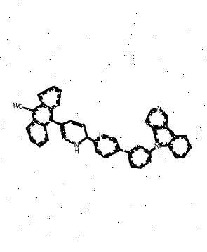 N#Cc1c2ccccc2c(C2=CNC(c3ccc(-c4cccc(-n5c6ccccc6c6cnccc65)c4)cn3)C=C2)c2ccccc12